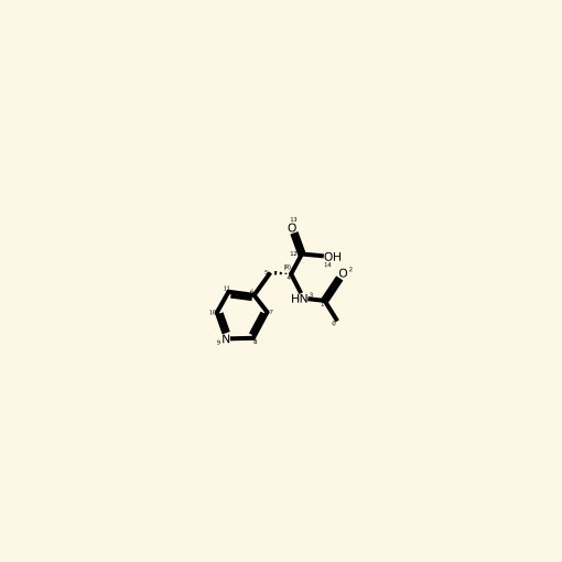 CC(=O)N[C@H](Cc1ccncc1)C(=O)O